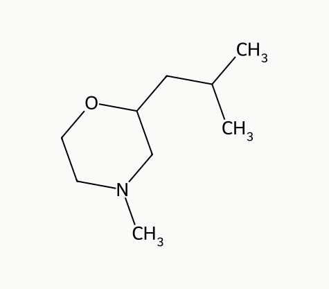 CC(C)CC1CN(C)CCO1